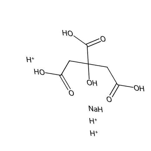 O=C(O)CC(O)(CC(=O)O)C(=O)O.[H+].[H+].[H+].[NaH]